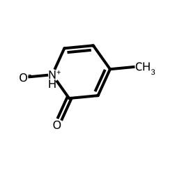 CC1=CC(=O)[NH+]([O-])C=C1